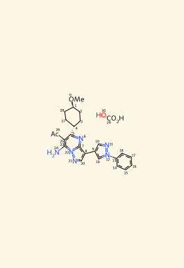 CO[C@H]1CC[C@H](c2nc3c(-c4cnn(-c5ccccc5)c4)cnn3c(N)c2C(C)=O)CC1.O=C(O)O